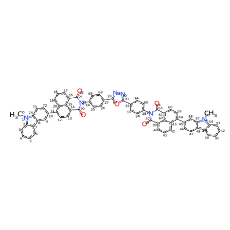 Cn1c2ccccc2c2cc(-c3ccc4c5c(cccc35)C(=O)N(c3ccc(-c5nnc(-c6ccc(N7C(=O)c8cccc9c(-c%10ccc%11c%12ccccc%12n(C)c%11c%10)ccc(c89)C7=O)cc6)o5)cc3)C4=O)ccc21